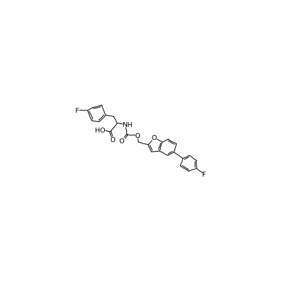 O=C(NC(Cc1ccc(F)cc1)C(=O)O)OCc1cc2cc(-c3ccc(F)cc3)ccc2o1